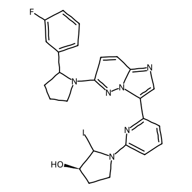 O[C@@H]1CCN(c2cccc(-c3cnc4ccc(N5CCCC5c5cccc(F)c5)nn34)n2)C1I